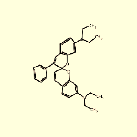 CCN(CC)c1ccc2c(c1)OC1(C=C2)Oc2cc(N(CC)CC)ccc2C=C1c1ccccc1